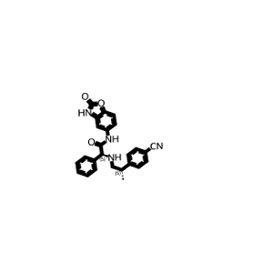 C[C@H](CN[C@H](C(=O)Nc1ccc2oc(=O)[nH]c2c1)c1ccccc1)c1ccc(C#N)cc1